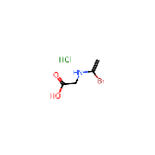 C=C(Br)NCC(=O)O.Cl